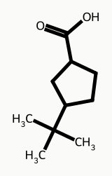 CC(C)(C)C1CCC(C(=O)O)C1